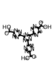 O=C(O)c1nnc(-c2nc(-c3nnc(C(=O)O)nn3)nc(-c3nnc(C(=O)O)nn3)n2)nn1